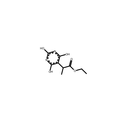 CCOC(=O)C(C)c1c(O)nc(O)nc1O